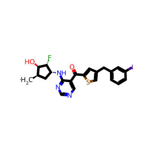 [CH2][C@@H]1C[C@@H](Nc2ncncc2C(=O)c2cc(Cc3cccc(I)c3)cs2)[C@@H](F)[C@@H]1O